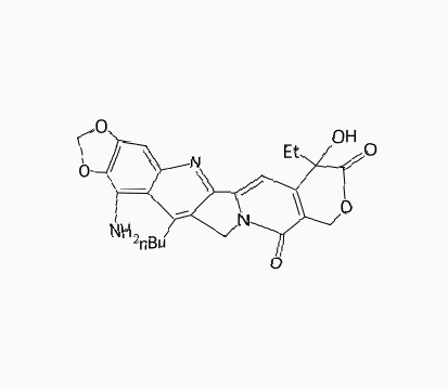 CCCCc1c2c(nc3cc4c(c(N)c13)OCO4)-c1cc3c(c(=O)n1C2)COC(=O)C3(O)CC